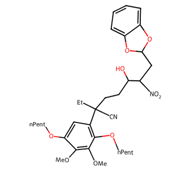 CCCCCOc1cc(C(C#N)(CC)CCC(O)C(CC2Oc3ccccc3O2)[N+](=O)[O-])c(OCCCCC)c(OC)c1OC